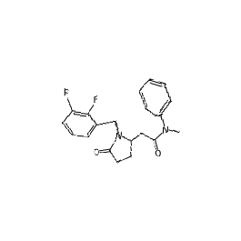 CN(C(=O)CC1CCC(=O)N1Cc1cccc(F)c1F)c1ccccc1